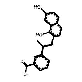 CC(Cc1ccc2ccc(O)cc2c1O)c1cccc(C(=O)O)c1